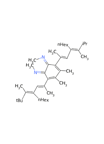 CCCCCCC(/C=C(\C)C1=C(C)C(C)=C(/C(C)=C/C(CCCCCC)=C(\C)C(C)(C)C)C(=N/C)/C1=N\C)=C(/C)C(C)C